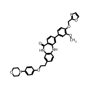 COc1cc(-c2ccc3c(c2)Nc2ccc(CCOc4ccc(N5CCOCC5)cc4)cc2NC3=O)ccc1OCc1ncco1